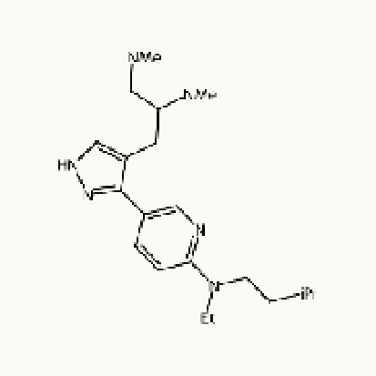 CCN(CCC(C)C)c1ccc(-c2n[nH]cc2CC(CNC)NC)cn1